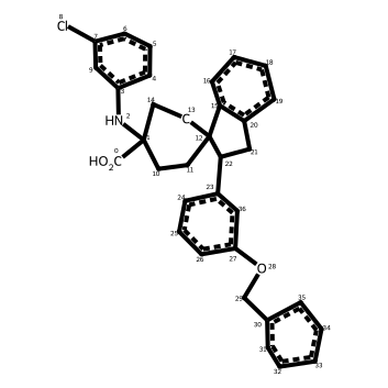 O=C(O)C1(Nc2cccc(Cl)c2)CCC2(CC1)c1ccccc1CC2c1cccc(OCc2ccccc2)c1